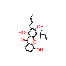 C=CC(C)(C)c1c(O)c(CC=C(C)C)c(O)c2c(=O)c3cccc(O)c3oc12